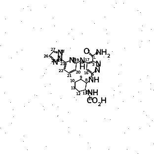 NC(=O)c1nnc(NC2CCCCC2NC(=O)O)cc1Nc1cccc(-n2nccn2)n1